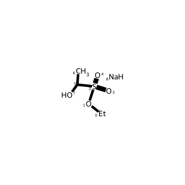 CCOS(=O)(=O)C(C)O.[NaH]